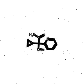 COC(C(N)=S)(c1ccccn1)C1CC1